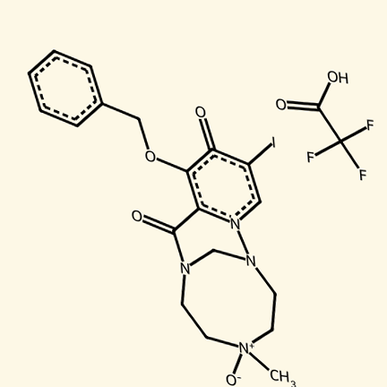 C[N+]1([O-])CCN2CN(CC1)n1cc(I)c(=O)c(OCc3ccccc3)c1C2=O.O=C(O)C(F)(F)F